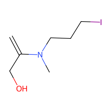 C=C(CO)N(C)CCCI